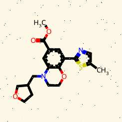 COC(=O)c1cc(-c2ncc(C)s2)c2c(c1)N(CC1CCOC1)CCO2